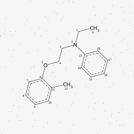 CCN(CCOc1ccccc1C)c1ccccc1